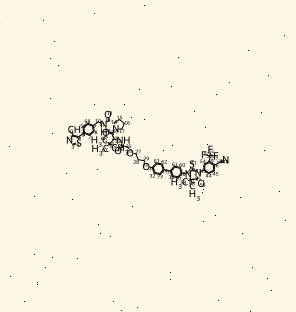 Cc1ncsc1-c1ccc(CNC(=O)[C@@H]2CCCN2C(=O)C(NC(=O)COCCCOc2ccc(-c3ccc(N4C(=S)N(c5ccc(C#N)c(C(F)(F)F)c5)C(=O)C4(C)C)cc3)cc2)C(C)(C)C)cc1